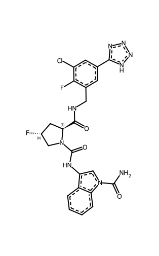 NC(=O)n1cc(NC(=O)N2C[C@H](F)C[C@H]2C(=O)NCc2cc(-c3nnn[nH]3)cc(Cl)c2F)c2ccccc21